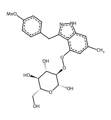 COc1ccc(Cc2n[nH]c3cc(C)cc(OO[C@@H]4[C@@H](O)[C@H](O)[C@@H](CO)O[C@H]4O)c23)cc1